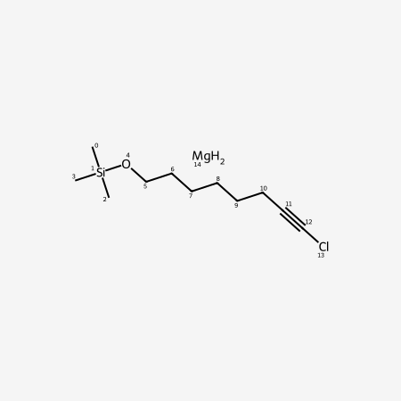 C[Si](C)(C)OCCCCCCC#CCl.[MgH2]